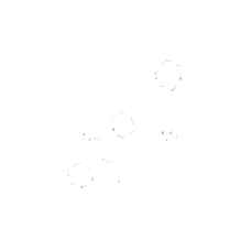 COc1cc2c(cc1OCc1ccccc1)CCN=C2C(=O)c1ccccc1OC(C)=O